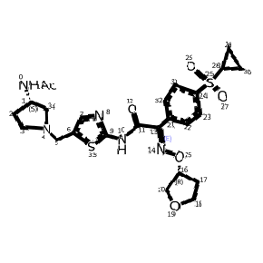 CC(=O)N[C@H]1CCN(Cc2cnc(NC(=O)/C(=N/O[C@@H]3CCOC3)c3ccc(S(=O)(=O)C4CC4)cc3)s2)C1